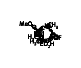 COCCOCCc1nn(C)c2c1CSCc1cc(n(C)n1)CCc1cc(c3ccc(F)cc3c1)OCCCc1c(C(=O)O)n(C)c3c-2c(Cl)ccc13